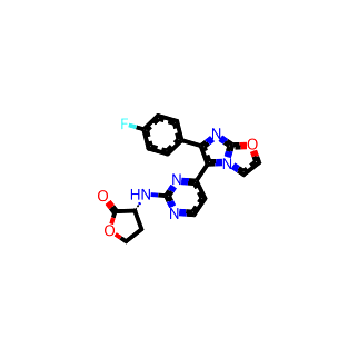 O=C1OCC[C@H]1Nc1nccc(-c2c(-c3ccc(F)cc3)nc3occn23)n1